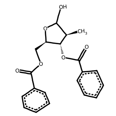 C[C@@H]1C(O)O[C@H](COC(=O)c2ccccc2)[C@H]1OC(=O)c1ccccc1